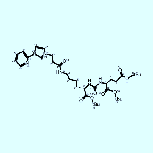 CC(C)(C)OC(=O)CC[C@H](NC(=O)N[C@@H](CCCCNC(=O)CC[n+]1ccn(-c2ccccn2)c1)C(=O)OC(C)(C)C)C(=O)OC(C)(C)C